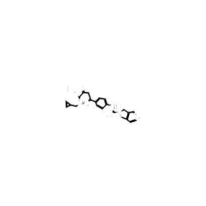 CC1(C)CC(c2ccc(NC(=O)N3Cc4ccncc4C3)cc2)=NN(CC2CC2)C1=O